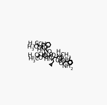 C[C@H](NC(=O)C(=O)C(CC1CC1)NC(=O)C1C[C@@H](OC(C)(C)C)CN1C(=O)[C@@H](NC(=O)OC(C)(C)C)C1CCCCC1)C(=O)N[C@H](C(N)=O)c1ccccc1